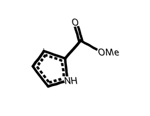 COC(=O)c1[c]cc[nH]1